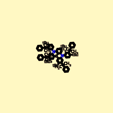 CC(C)(C)c1cc2c3c(c1)N(c1ccc(C(C)(C)C)c(C(C)(C)c4ccccc4)c1)c1cc(C(C)(C)c4ccccc4)c(C(C)(C)C)cc1B3c1cc(C(C)(C)C)c(C(C)(C)c3ccccc3)cc1N2c1ccc(C(C)(C)C)c(C(C)(C)c2ccccc2)c1